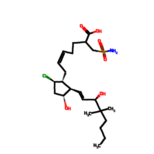 CCCCC(C)(C)[C@H](O)/C=C/[C@@H]1[C@@H](C/C=C\CCC(CS(N)(=O)=O)C(=O)O)[C@H](Cl)C[C@H]1O